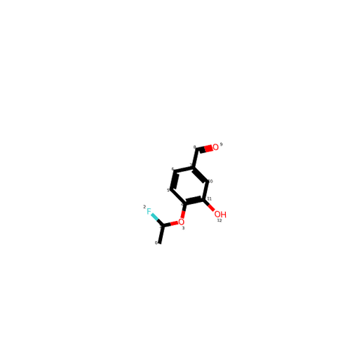 CC(F)Oc1ccc(C=O)cc1O